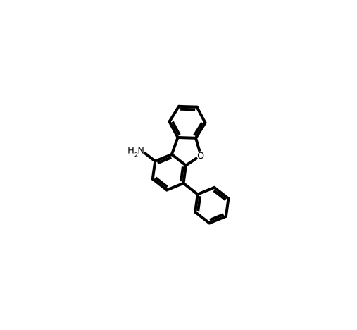 Nc1ccc(-c2ccccc2)c2oc3ccccc3c12